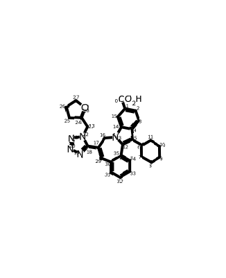 O=C(O)c1ccc2c(C3CCCCC3)c3n(c2c1)CC(c1nnnn1CC1CCCO1)=Cc1ccccc1-3